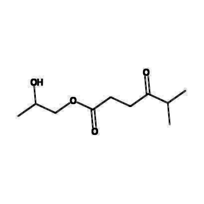 CC(O)COC(=O)CCC(=O)C(C)C